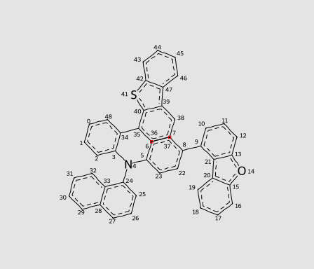 c1ccc(N(c2ccc(-c3cccc4oc5ccccc5c34)cc2)c2cccc3ccccc23)c(-c2cccc3c2sc2ccccc23)c1